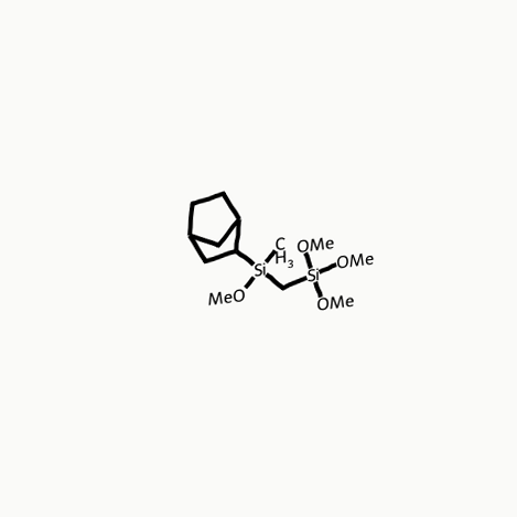 CO[Si](C[Si](C)(OC)C1CC2CCC1C2)(OC)OC